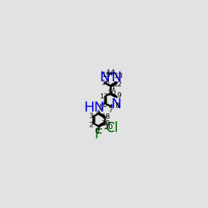 Fc1ccc(Nc2cncc(-c3cncnc3)c2)cc1Cl